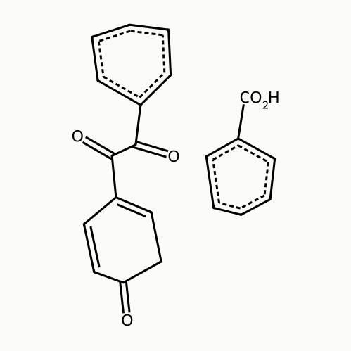 O=C(O)c1ccccc1.O=C1C=CC(C(=O)C(=O)c2ccccc2)=CC1